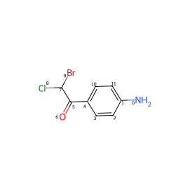 Nc1ccc(C(=O)C(Cl)Br)cc1